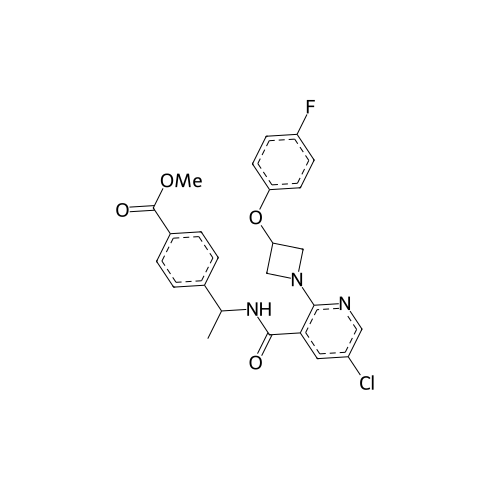 COC(=O)c1ccc(C(C)NC(=O)c2cc(Cl)cnc2N2CC(Oc3ccc(F)cc3)C2)cc1